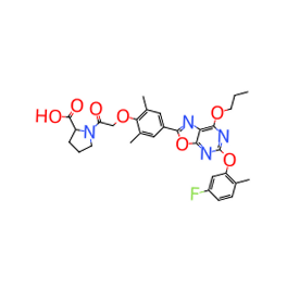 CCCOc1nc(Oc2cc(F)ccc2C)nc2oc(-c3cc(C)c(OCC(=O)N4CCCC4C(=O)O)c(C)c3)nc12